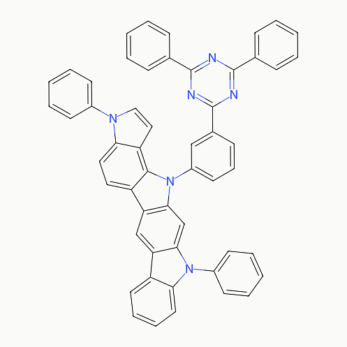 c1ccc(-c2nc(-c3ccccc3)nc(-c3cccc(-n4c5cc6c(cc5c5ccc7c(ccn7-c7ccccc7)c54)c4ccccc4n6-c4ccccc4)c3)n2)cc1